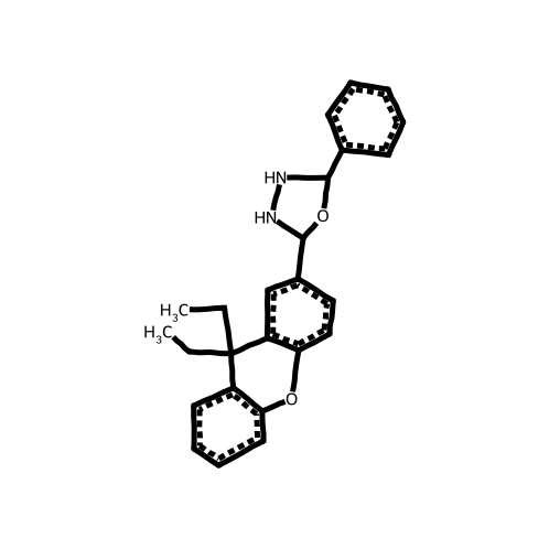 CCC1(CC)c2ccccc2Oc2ccc(C3NNC(c4ccccc4)O3)cc21